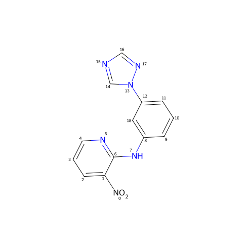 O=[N+]([O-])c1cccnc1Nc1cccc(-n2cncn2)c1